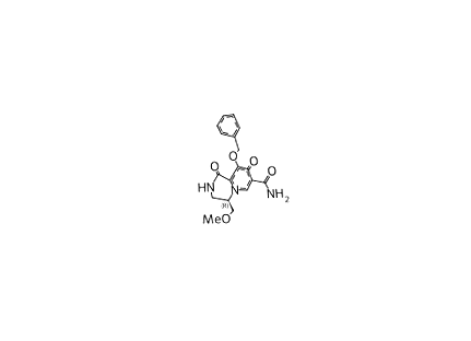 COC[C@H]1CNC(=O)c2c(OCc3ccccc3)c(=O)c(C(N)=O)cn21